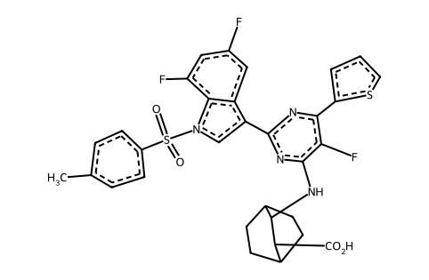 Cc1ccc(S(=O)(=O)n2cc(-c3nc(NC4C5CCC(CC5)C4C(=O)O)c(F)c(-c4cccs4)n3)c3cc(F)cc(F)c32)cc1